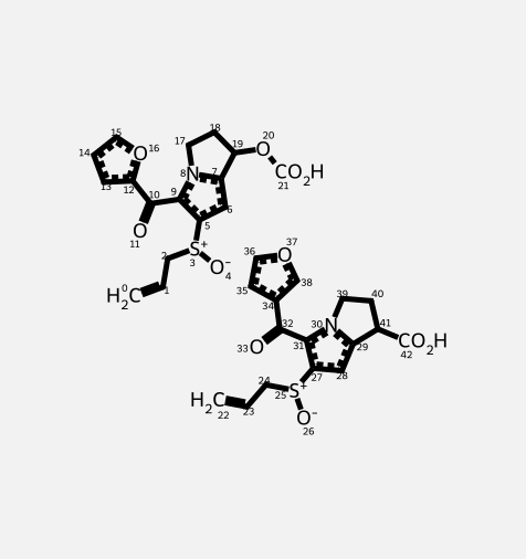 C=CC[S+]([O-])c1cc2n(c1C(=O)c1ccco1)CCC2OC(=O)O.C=CC[S+]([O-])c1cc2n(c1C(=O)c1ccoc1)CCC2C(=O)O